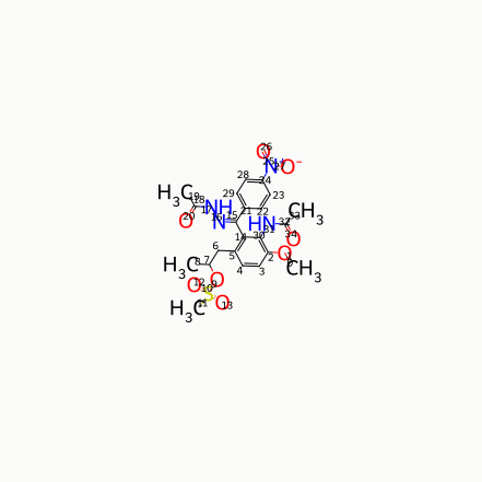 COc1ccc(CC(C)OS(C)(=O)=O)c(C(=NNC(C)=O)c2ccc([N+](=O)[O-])cc2)c1NC(C)=O